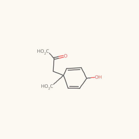 O=C(O)C(=O)CC1(C(=O)O)C=CC(O)C=C1